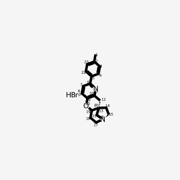 Br.Cc1ccc(-c2ccc3c(n2)C[C@@]24CC[N@](CCC2O3)C4)cc1